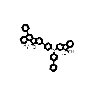 CC1(C)c2ccccc2-c2ccc(N(c3ccc(-c4ccccc4)cc3)c3ccc(-c4ccc5c(c4)C(C)(C)c4c-5cc(-c5ccccc5)c5ccccc45)cc3)cc21